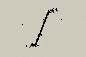 CC(=O)OCC[N+](C)(C)CCCCCCCCCCCOC(=O)CCCCCCCCCCCCCCCCC(=O)OCCCCCCCCCCC[N+](C)(C)CCOC(C)=O